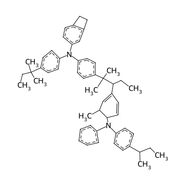 CCC(C)c1ccc(N(c2ccccc2)C2C=CC(C(CC)C(C)(C)c3ccc(N(c4ccc(C(C)(C)CC)cc4)c4ccc5c(c4)CC5)cc3)=CC2C)cc1